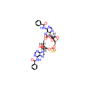 O=C(Nc1ncnc2c1ncn2[C@@H]1O[C@@H]2CO[P@@](=O)(S)O[C@H]3[C@H]4OC[C@]3(CO[P@](=O)(S)O[C@@H]1[C@@H]2O)O[C@H]4n1cnc2c(NC(=O)c3ccccc3)ncnc21)c1ccccc1